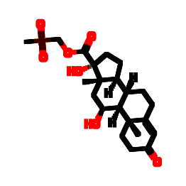 C[C@]12CCC(=O)C=C1CC[C@@H]1[C@@H]2[C@@H](O)C[C@@]2(C)[C@H]1CC[C@]2(O)C(=O)OCS(C)(=O)=O